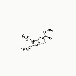 Cn1c(C(=O)O)nc2c1CN(C(=O)OC(C)(C)C)C2